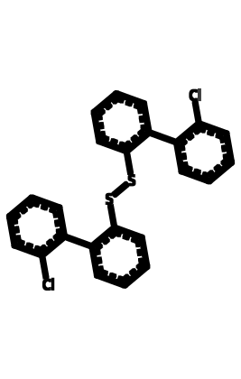 Clc1ccccc1-c1ccccc1SSc1ccccc1-c1ccccc1Cl